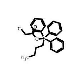 CCCCP(OC(=O)CCl)(c1ccccc1)(c1ccccc1)c1ccccc1